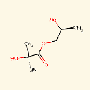 CCCC[C@@](C)(O)C(=O)OC[C@H](C)O